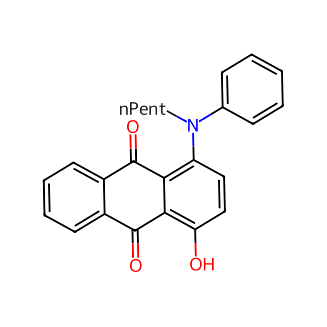 CCCCCN(c1ccccc1)c1ccc(O)c2c1C(=O)c1ccccc1C2=O